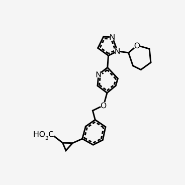 O=C(O)C1CC1c1cccc(COc2ccc(-c3ccnn3C3CCCCO3)nc2)c1